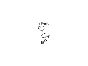 CCCCCC1CCC(c2ccc(OCC)c(F)c2)=CO1